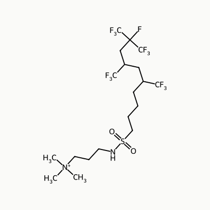 C[N+](C)(C)CCCNS(=O)(=O)CCCCC(CC(CC(F)(C(F)(F)F)C(F)(F)F)C(F)(F)F)C(F)(F)F